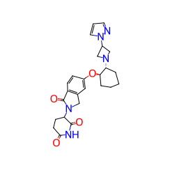 O=C1CCC(N2Cc3cc(O[C@@H]4CCCC[C@H]4N4CC(n5cccn5)C4)ccc3C2=O)C(=O)N1